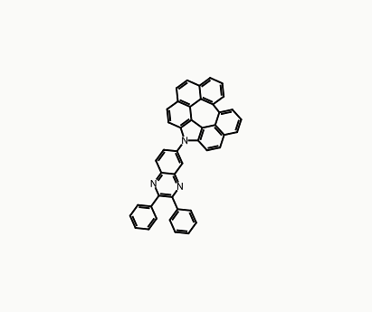 c1ccc(-c2nc3ccc(-n4c5ccc6cccc7c6c5c5c6c(ccc8cccc-7c86)ccc54)cc3nc2-c2ccccc2)cc1